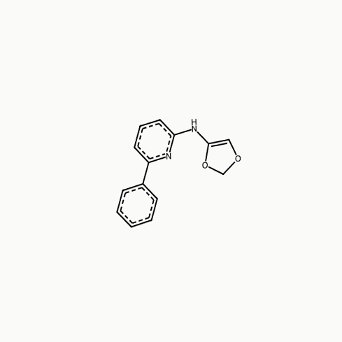 C1=C(Nc2cccc(-c3ccccc3)n2)OCO1